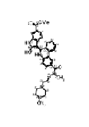 COC(=O)c1ccc2c(c1)NC(O)/C2=C(\Nc1ccc(C(=O)N(C)OCCN2CCN(C)CC2)cc1)c1ccccc1